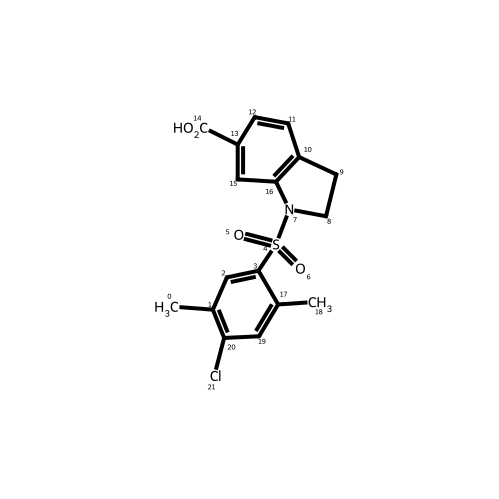 Cc1cc(S(=O)(=O)N2CCc3ccc(C(=O)O)cc32)c(C)cc1Cl